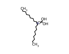 CCCCCCCC/C=C\CCCCCCCC.O=C(O)O